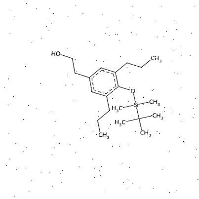 CCCc1cc(CCO)cc(CCC)c1O[Si](C)(C)C(C)(C)C